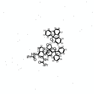 CC(C)C(=O)Nc1nc(NC(=O)C(C)C)c2ncn([C@@H]3O[C@H](COC(c4ccccc4)(c4ccccc4)c4ccccc4)[C@@H](OC(c4ccccc4)(c4ccccc4)c4ccccc4)[C@@H]3F)c2n1